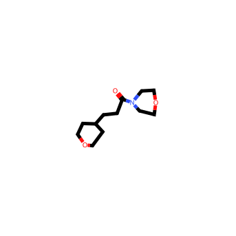 O=C(CCC1CCOCC1)N1CCOCC1